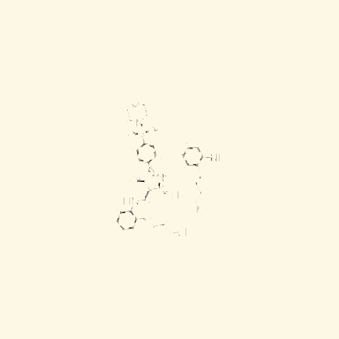 CCCCOc1ccccc1N.CCCCOc1ccccc1NC=C1C(=O)N(c2ccc(S(=O)(=O)N3CCOCC3)cc2)N=C1C